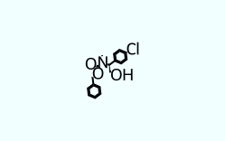 CN(C(=O)OCc1ccccc1)[C@H](CO)c1ccc(Cl)cc1